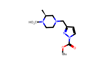 C[C@H]1CN(Cc2ccn(C(=O)OC(C)(C)C)n2)CCN1C(=O)O